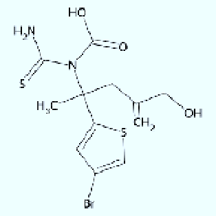 C=C(CO)CC(C)(c1cc(Br)cs1)N(C(=O)O)C(N)=S